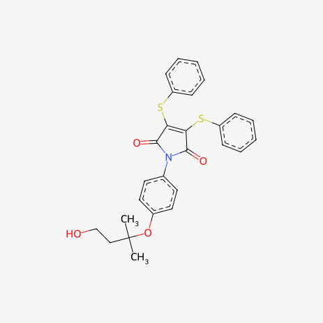 CC(C)(CCO)Oc1ccc(N2C(=O)C(Sc3ccccc3)=C(Sc3ccccc3)C2=O)cc1